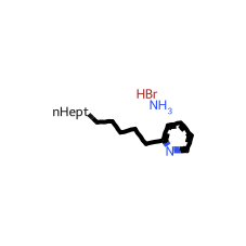 Br.CCCCCCCCCCCCc1ccccn1.N